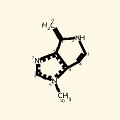 C=C1NC=Cc2c1ncn2C